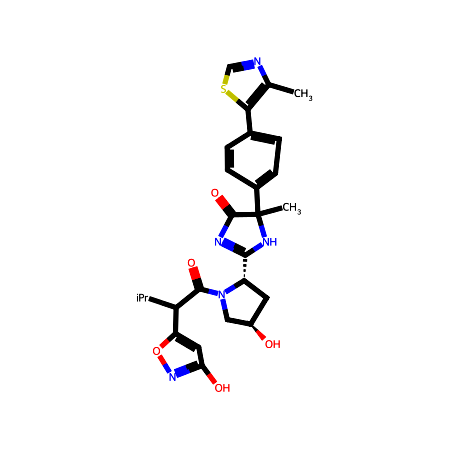 Cc1ncsc1-c1ccc(C2(C)NC([C@@H]3C[C@@H](O)CN3C(=O)C(c3cc(O)no3)C(C)C)=NC2=O)cc1